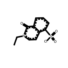 CCn1ccc2c(S(=O)(=O)Cl)cccc2c1=O